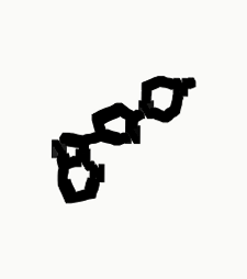 CN1CCN(c2ccc(-c3cnc4cccnn34)cn2)CC1